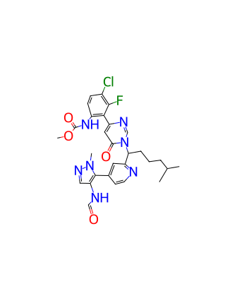 COC(=O)Nc1ccc(Cl)c(F)c1-c1cc(=O)n(C(CCCC(C)C)c2cc(-c3c(NC=O)cnn3C)ccn2)cn1